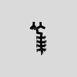 CC(C)[SiH](CCC(F)(F)C(F)(F)C(F)(F)C(F)(F)F)C(C)C